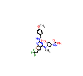 COc1ccc(CNc2nc(N(C)[C@H]3C[C@@H](NC(=O)O)C[C@H]3O)c3cc(CC(F)(F)F)sc3n2)cc1